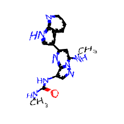 CNC(=O)Nc1cnn2c(NC)cc(-c3c[nH]c4ncccc34)nc12